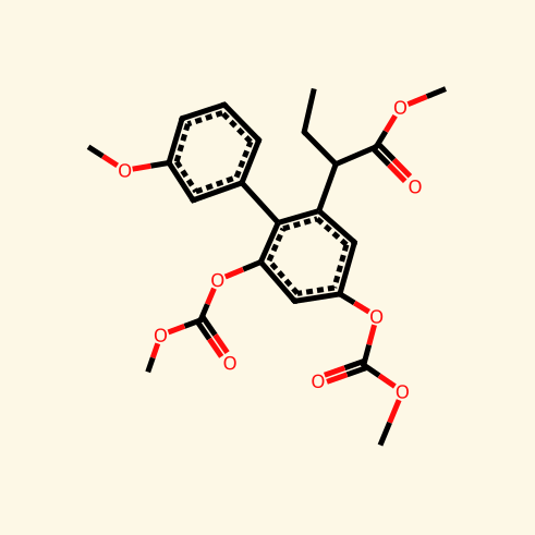 CCC(C(=O)OC)c1cc(OC(=O)OC)cc(OC(=O)OC)c1-c1cccc(OC)c1